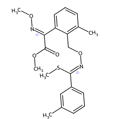 CO/N=C(/C(=O)OC)c1cccc(C)c1CO/N=C(\SC)c1cccc(C)c1